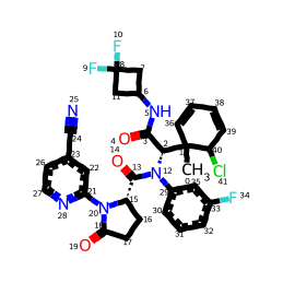 CC1([C@@H](C(=O)NC2CC(F)(F)C2)N(C(=O)[C@@H]2CCC(=O)N2c2cc(C#N)ccn2)c2cccc(F)c2)C=CC=CC1Cl